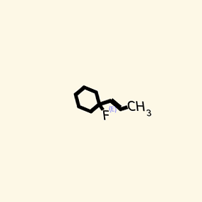 C/C=C/C1(F)CCCCC1